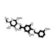 COc1cccc(COc2c(Cl)cc(C(=O)O[C@H]3[C@@H](OC)O[C@H](CO)[C@@H](O)[C@@H]3O)cc2OC)c1